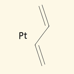 C=CC=C.[Pt]